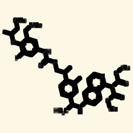 CNCc1cc(NC(=O)OCC(C)c2ccc(C(Nc3ccc4c(N(C(=O)OC(C)(C)C)C(=O)OC(C)(C)C)nccc4c3)C(=O)O)cc2C)cc(F)c1OC(C)COC